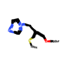 CCCCCCCCOCC(Cn1ccnc1)SCCCCCC